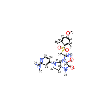 COc1cc(C)c(S(=O)(=O)Cc2noc(C(=O)N(C)C3CCN(c4ccnc(N(C)C)c4)CC3)n2)c(C)c1